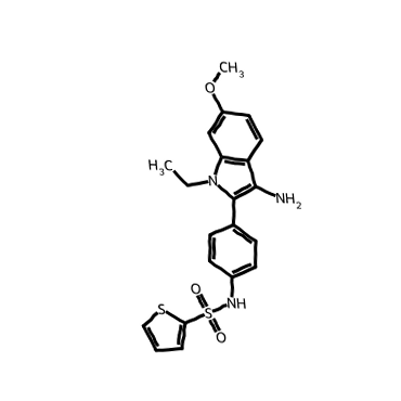 CCn1c(-c2ccc(NS(=O)(=O)c3cccs3)cc2)c(N)c2ccc(OC)cc21